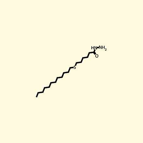 CCCCCCCCCCCCSCCCCCC(=O)NN